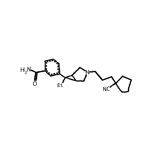 CCC1(c2cccc(C(N)=O)c2)C2CN(CCCC3(C#N)CCCC3)CC21